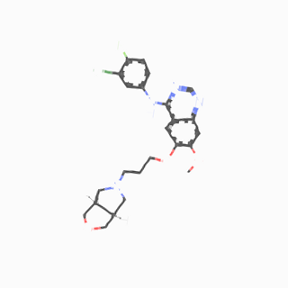 COc1cc2ncnc(Nc3ccc(F)c(Cl)c3)c2cc1OCCCN1C[C@H]2COC[C@@H]2C1